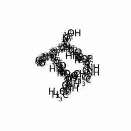 CCC(CC)NC(=O)Nc1ccc(Oc2cnc(NC(=O)c3ccc(-n4cc(CN5CCC(O)CC5)c5ccccc54)cc3)s2)c(F)c1.CCC(CC)NC(=O)Nc1ccc(Oc2cnc(NC(=O)c3ccc(-n4cc(CN5CCC6(CC5)OCCO6)c5ccccc54)cc3)s2)c(COC)c1